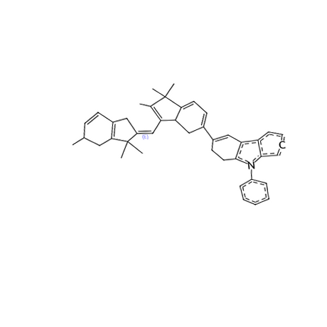 CC1=C(/C=C2\CC3=C(CC(C)C=C3)C2(C)C)C2CC(C3=Cc4c(n(-c5ccccc5)c5ccccc45)CC3)=CC=C2C1(C)C